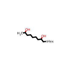 CCCCCCCC(O)CCCCCC(C)O